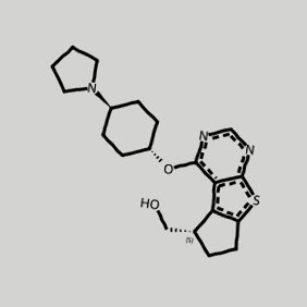 OC[C@H]1CCc2sc3ncnc(O[C@H]4CC[C@H](N5CCCC5)CC4)c3c21